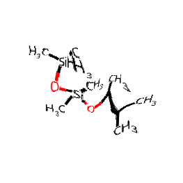 CC(C)C(C)O[Si](C)(C)O[SiH](C)C